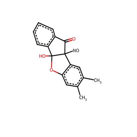 Cc1cc2c(cc1C)C1(N=O)C(=O)c3ccccc3C1(O)O2